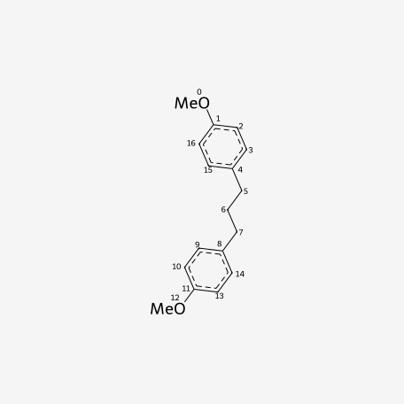 COc1ccc(CCCc2ccc(OC)cc2)cc1